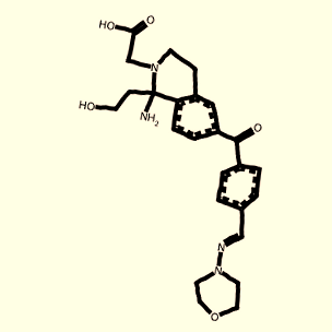 NC1(CCO)c2ccc(C(=O)c3ccc(C=NN4CCOCC4)cc3)cc2CCN1CC(=O)O